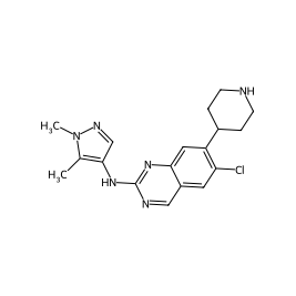 Cc1c(Nc2ncc3cc(Cl)c(C4CCNCC4)cc3n2)cnn1C